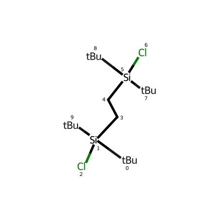 CC(C)(C)[Si](Cl)(CC[Si](Cl)(C(C)(C)C)C(C)(C)C)C(C)(C)C